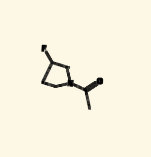 CC(=O)N1[CH]C(F)CC1